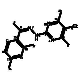 CCc1c(C)nc(NN=C(C)c2ccc(C)cc2C)nc1C